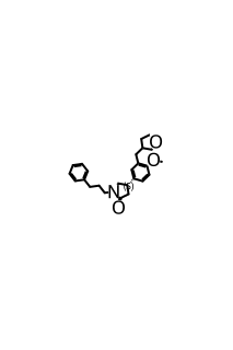 COc1ccc([C@@H]2CC(=O)N(CCCc3ccccc3)C2)cc1CC1CCOC1